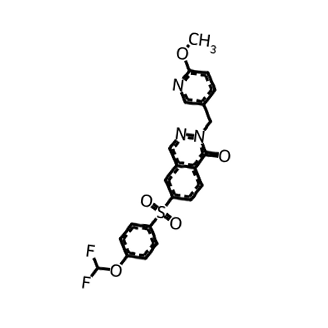 COc1ccc(Cn2ncc3cc(S(=O)(=O)c4ccc(OC(F)F)cc4)ccc3c2=O)cn1